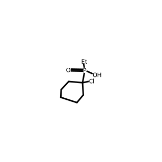 CCP(=O)(O)C1(Cl)CCCCC1